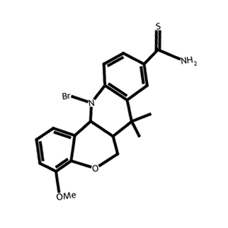 COc1cccc2c1OCC1C2N(Br)c2ccc(C(N)=S)cc2C1(C)C